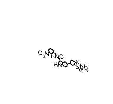 O=C(NCc1cccc([N+](=O)[O-])c1)c1c[nH]c2ccc(-c3ccc4nc(NC(=O)C5CC5)sc4c3)cc12